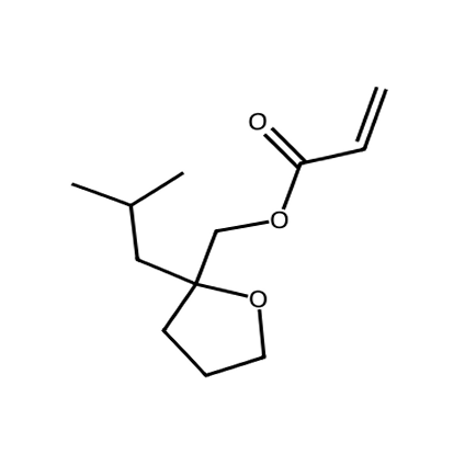 C=CC(=O)OCC1(CC(C)C)CCCO1